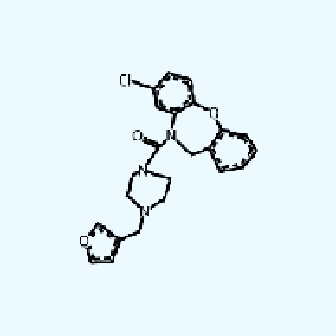 O=C(N1CCN(Cc2ccoc2)CC1)N1Cc2ccccc2Oc2ccc(Cl)cc21